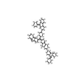 CC1(C)c2cc(-c3ccc4c(c3)c3ccccc3n4-c3ccccc3)ccc2-c2ccc(N(c3ccc(-c4ccc5c6ccccc6n(-c6ccccc6)c5c4)cc3)c3ccc4oc5ccccc5c4c3)cc21